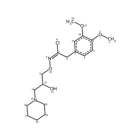 COc1ccc(C/C(Cl)=N\OCC(O)CN2CCCCC2)cc1OC